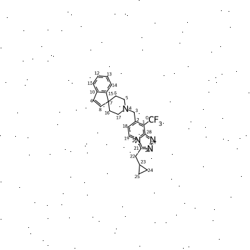 FC(F)(F)c1c(CN2CCC3(C=Cc4ccccc43)CC2)ccn2c(CC3CC3)nnc12